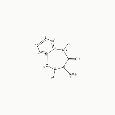 CNC1C(=O)N(C)c2ncccc2OC1C